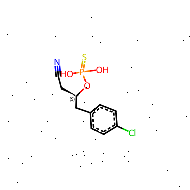 N#CC[C@H](Cc1ccc(Cl)cc1)OP(O)(O)=S